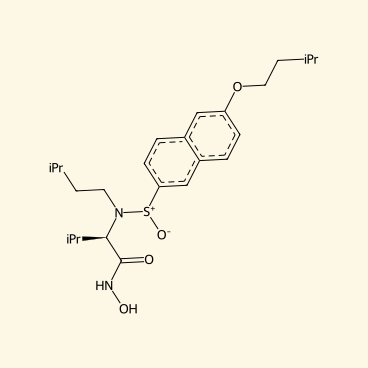 CC(C)CCOc1ccc2cc([S+]([O-])N(CCC(C)C)[C@@H](C(=O)NO)C(C)C)ccc2c1